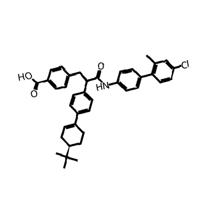 Cc1cc(Cl)ccc1-c1ccc(NC(=O)C(Cc2ccc(C(=O)O)cc2)c2ccc(C3=CC[C@H](C(C)(C)C)CC3)cc2)cc1